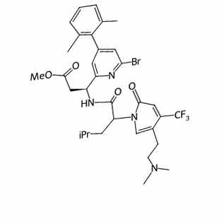 COC(=O)C[C@H](NC(=O)C(CC(C)C)n1cc(CCN(C)C)c(C(F)(F)F)cc1=O)c1cc(-c2c(C)cccc2C)cc(Br)n1